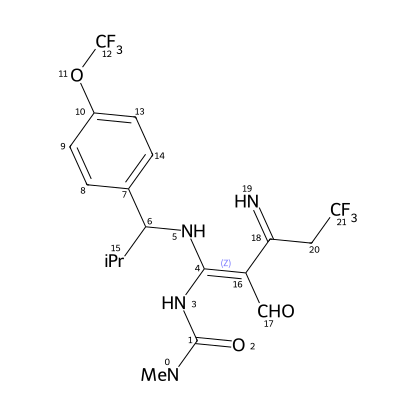 CNC(=O)N/C(NC(c1ccc(OC(F)(F)F)cc1)C(C)C)=C(\C=O)C(=N)CC(F)(F)F